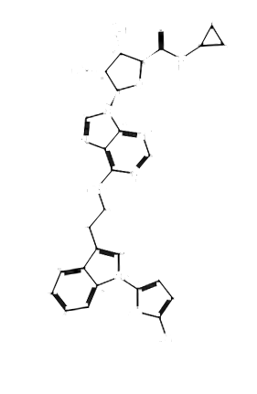 O=C(NC1CC1)[C@H]1O[C@@H](n2cnc3c(NCCc4cn(-c5ccc(Cl)s5)c5ccccc45)ncnc32)[C@H](O)[C@@H]1O